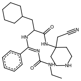 CCNC(=O)N=C(NC(CC1CCCCC1)C(=O)NC1(CC#N)CCNCC1)c1ccccc1